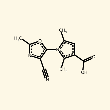 Cc1nc(C#N)c(-n2c(C)cc(C(=O)O)c2C)o1